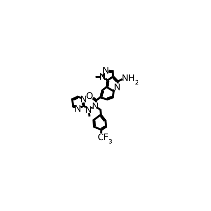 CN(c1ncccn1)N(Cc1ccc(C(F)(F)F)cc1)C(=O)c1ccc2nc(N)c3cnn(C)c3c2c1